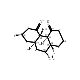 C[C@H]1CC(=O)[C@H]2[C@H](C1)C[C@H](N)[C@H]1CCCC(=O)[C@@H]12